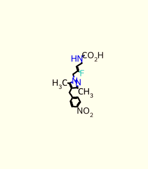 Cc1nn(CC(F)=CCNC(=O)O)c(C)c1Cc1ccc([N+](=O)[O-])cc1